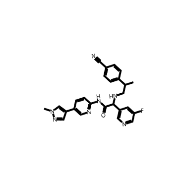 CC(CNC(C(=O)Nc1ccc(-c2cnn(C)c2)cn1)c1cncc(F)c1)c1ccc(C#N)cc1